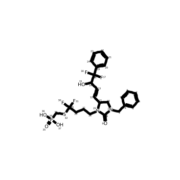 O=C1N(Cc2ccccc2)CC(C=CC(O)C(F)(F)c2ccccc2)N1CCCC(F)(F)SCP(=O)(O)O